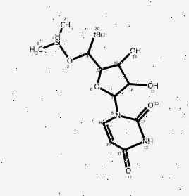 C[SiH](C)OC(C1OC(n2ccc(=O)[nH]c2=O)C(O)C1O)C(C)(C)C